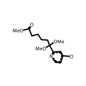 COC(=O)CCCCC(OC)(OC)c1cc(Cl)ccn1